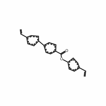 C=Cc1ccc(OC(=O)c2ccc(-c3ccc(C=C)cc3)cc2)cc1